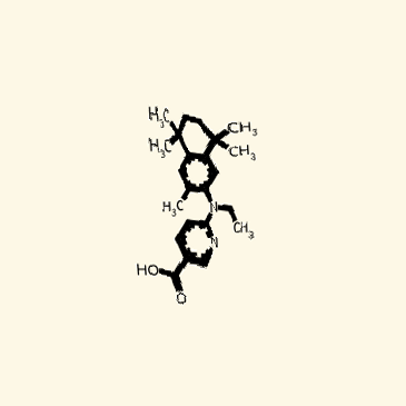 CCN(c1ccc(C(=O)O)cn1)c1cc2c(cc1C)C(C)(C)CCC2(C)C